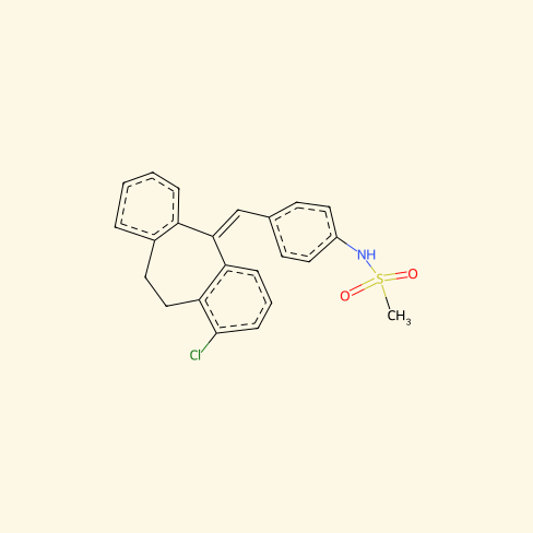 CS(=O)(=O)Nc1ccc(C=C2c3ccccc3CCc3c(Cl)cccc32)cc1